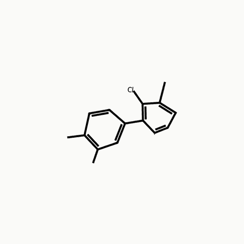 Cc1ccc(-c2[c]ccc(C)c2Cl)cc1C